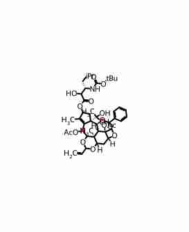 C=CC1O[C@H]2C[C@H]3OC[C@@]3(OC(C)=O)[C@H]3[C@H](OC(=O)c4ccccc4)[C@]4(C(C)(C)O)C[C@H](OC(=O)C(O)[C@H](CC(C)C)NC(=O)OC(C)(C)C)C(C)=C4[C@H](OC(C)=O)[C@H](O1)[C@]23C